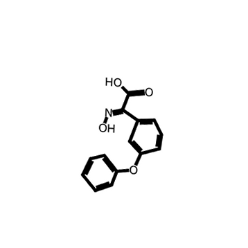 O=C(O)/C(=N/O)c1cccc(Oc2ccccc2)c1